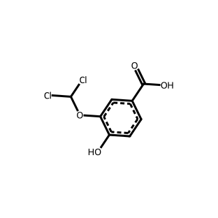 O=C(O)c1ccc(O)c(OC(Cl)Cl)c1